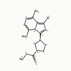 COc1cnc(N)c2c(Br)nc([C@H]3CCN(C(=O)OC(C)(C)C)C3)n12